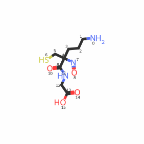 NCCCC(CS)(N=O)C(=O)NCC(=O)O